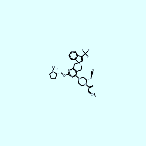 C=CC(=O)N1CCN(c2nc(OC[C@@H]3CCCN3C)nc3c2CC[C@]2(C=C(C(F)(F)F)c4ccccc42)C3)C[C@@H]1CC#N